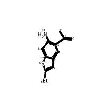 C=C(C)c1cc2cc(CC)sc2cc1N